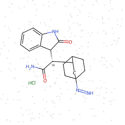 Cl.N=NC12CCC(CC1)C([C@H](C(N)=O)C1C(=O)Nc3ccccc31)C2